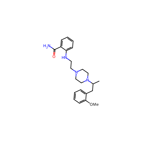 COc1ccccc1CC(C)N1CCN(CCNc2ccccc2C(N)=O)CC1